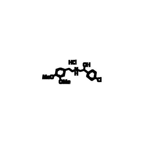 COc1ccc(CCNCC(O)c2ccc(Cl)cc2)cc1OC.Cl